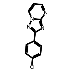 Clc1ccc(-c2nc3ncccn3n2)cc1